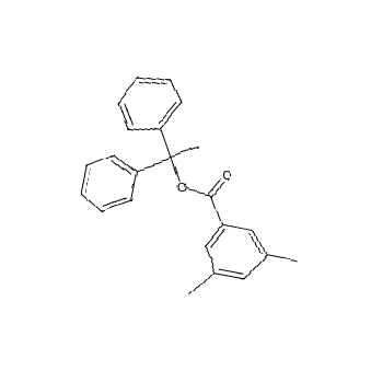 Cc1cc(C)cc(C(=O)OC(C)(c2ccccc2)c2ccccc2)c1